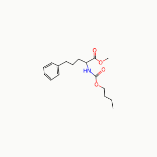 CCCCOC(=O)NC(CCCc1ccccc1)C(=O)OC